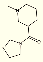 CN1CCCC(C(=O)N2CCSC2)C1